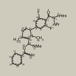 CCCCCCN(CCC)C(=O)c1c(F)cc(C2C=NC(C)=C(C(NC)OC(=N)c3ccccc3)N2C)cc1F